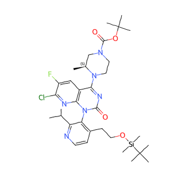 CC(C)c1nccc(CCO[Si](C)(C)C(C)(C)C)c1-n1c(=O)nc(N2CCN(C(=O)OC(C)(C)C)C[C@@H]2C)c2cc(F)c(Cl)nc21